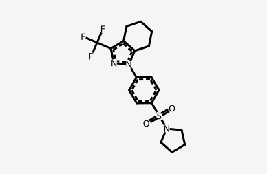 O=S(=O)(c1ccc(-n2nc(C(F)(F)F)c3c2CCCC3)cc1)N1CCCC1